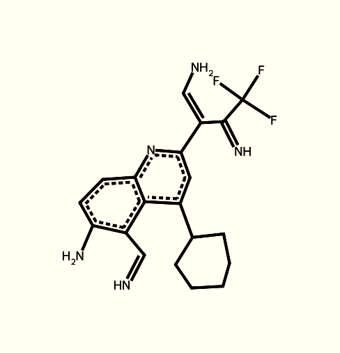 N=Cc1c(N)ccc2nc(/C(=C/N)C(=N)C(F)(F)F)cc(C3CCCCC3)c12